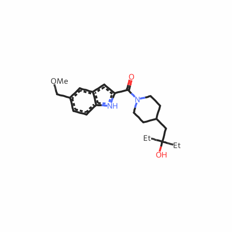 CCC(O)(CC)CC1CCN(C(=O)c2cc3cc(COC)ccc3[nH]2)CC1